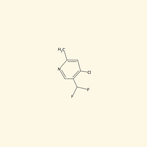 Cc1cc(Cl)c(C(F)F)cn1